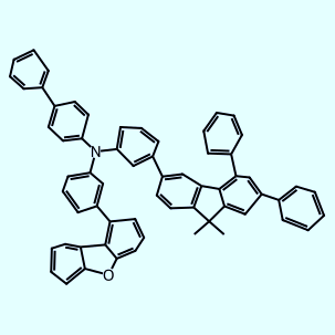 CC1(C)c2ccc(-c3cccc(N(c4ccc(-c5ccccc5)cc4)c4cccc(-c5cccc6oc7ccccc7c56)c4)c3)cc2-c2c(-c3ccccc3)cc(-c3ccccc3)cc21